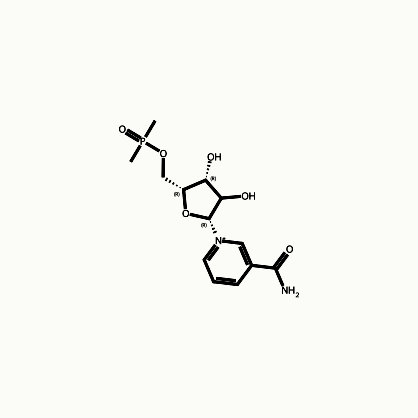 CP(C)(=O)OC[C@H]1O[C@@H]([n+]2cccc(C(N)=O)c2)C(O)[C@H]1O